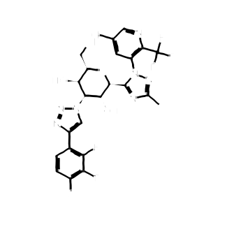 Cc1nc([C@@H]2O[C@H](CO)[C@H](O)[C@H](n3cc(-c4ccc(Cl)c(F)c4F)nn3)[C@H]2O)n(-c2cc(Cl)cnc2C(F)(F)F)n1